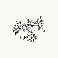 CC(c1ccc(Oc2cc(N)ccc2C(F)(F)F)cc1)(c1ccc(Oc2cc(N)ccc2C(F)(F)F)cc1)c1ccc(Oc2cc(N)ccc2C(F)(F)F)cc1